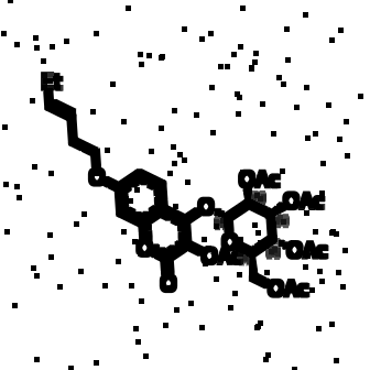 CCC=CCCOc1ccc2c(O[C@H]3O[C@H](COC(C)=O)[C@@H](OC(C)=O)[C@H](OC(C)=O)[C@@H]3OC(C)=O)c(OC(C)=O)c(=O)oc2c1